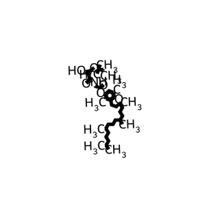 CCC(C)(C)OC1C(O)C1C(=O)NCC(=O)Oc1cc(C)c2c(c1C)CCC(C)(CCCC(C)CCCC(C)CCCC(C)C)O2